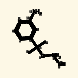 CC(C)(C)[SiH2]OC(C)(C)c1ccnc(N)c1